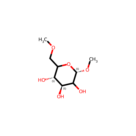 COCC1O[C@H](OC)C(O)[C@@H](O)[C@@H]1O